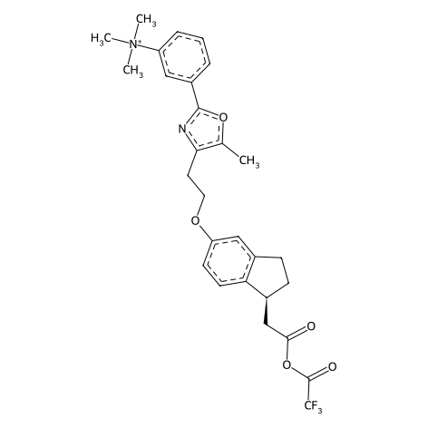 Cc1oc(-c2cccc([N+](C)(C)C)c2)nc1CCOc1ccc2c(c1)CC[C@H]2CC(=O)OC(=O)C(F)(F)F